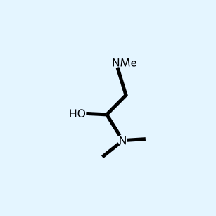 CNCC(O)N(C)C